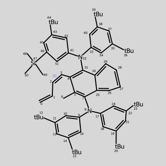 C=C/C=C\c1c(C)c(N(c2cc(C(C)(C)C)cc(C(C)(C)C)c2)c2cc(C(C)(C)C)cc(C(C)(C)C)c2)c2ccccc2c1N(c1cc(C(C)(C)C)cc(C(C)(C)C)c1)c1cc(C(C)(C)C)cc([Si](C)(C)C)c1